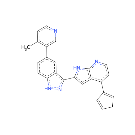 Cc1ccncc1-c1ccc2[nH]nc(-c3cc4c(C5=CCC=C5)ccnc4[nH]3)c2c1